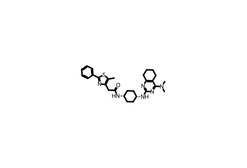 Cc1sc(-c2ccccc2)nc1CC(=O)N[C@H]1CC[C@@H](Nc2nc3c(c(N(C)C)n2)CCCC3)CC1